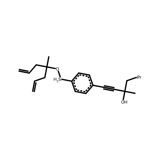 C=CCC(C)(CC=C)O[SiH2]c1ccc(C#CC(C)(O)CC(C)C)cc1